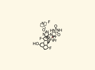 CC(C)[Si](C#Cc1c(F)ccc2cc(O)cc(-c3c(F)cc4c(N5C=CCC6(C5)NC(=O)NC6=O)nc(OC[C@@]56CCCN5C[C@H](F)C6)nc4c3F)c12)(C(C)C)C(C)C